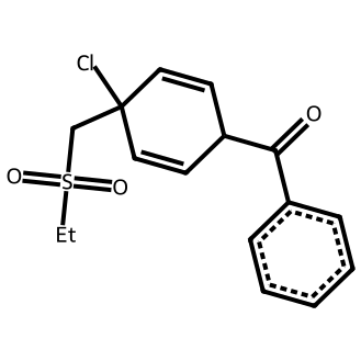 CCS(=O)(=O)CC1(Cl)C=CC(C(=O)c2ccccc2)C=C1